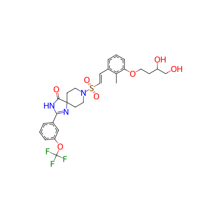 Cc1c(/C=C/S(=O)(=O)N2CCC3(CC2)N=C(c2cccc(OC(F)(F)F)c2)NC3=O)cccc1OCCC(O)CO